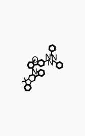 CC1(C)c2ccccc2C2C=c3c(n(-c4cccc5oc6cc(-c7nc(-c8ccccc8)nc(-c8ccccc8)n7)ccc6c45)c4ccccc34)=CC21